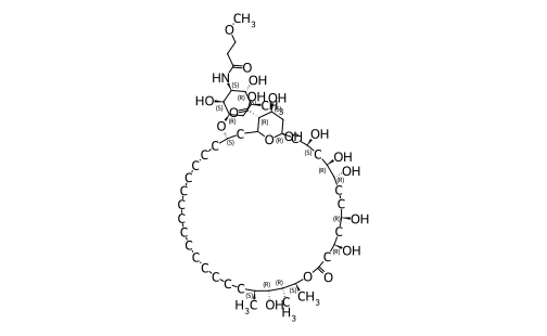 COCCC(=O)N[C@H]1[C@H](O)[C@@H](C)C[C@@H](O[C@H]2CCCCCCCCCCCCCC[C@H](C)[C@@H](O)[C@@H](C)[C@H](C)OC(=O)C[C@H](O)C[C@H](O)CC[C@@H](O)[C@H](O)C[C@H](O)C[C@]3(O)C[C@H](O)[C@@H](C(=O)O)C(C2)O3)[C@H]1O